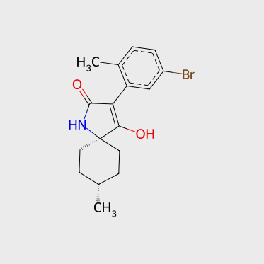 Cc1ccc(Br)cc1C1=C(O)[C@]2(CC[C@@H](C)CC2)NC1=O